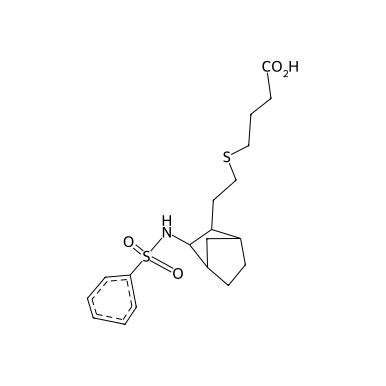 O=C(O)CCCSCCC1C2CCC(C2)C1NS(=O)(=O)c1ccccc1